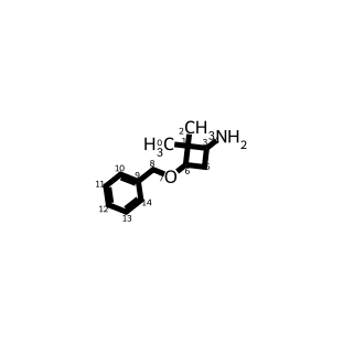 CC1(C)C(N)CC1OCc1ccccc1